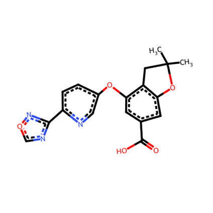 CC1(C)Cc2c(Oc3ccc(-c4ncon4)nc3)cc(C(=O)O)cc2O1